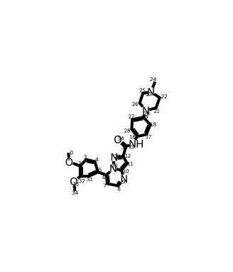 COc1ccc(-c2ccnc3cc(C(=O)Nc4ccc(N5CCN(C)CC5)cc4)nn23)cc1OC